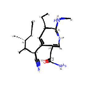 CCC1C=C(C(C#N)C(C)[C@H](C)CC)C(C(N)=O)=CN=C1NC